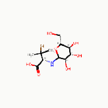 CC(C)(S)[C@H](NC1O[C@H](CO)[C@@H](O)[C@H](O)[C@H]1O)C(=O)O